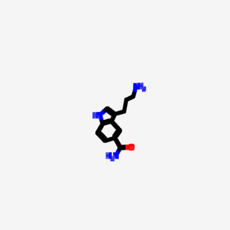 NCCCc1c[nH]c2ccc(C(N)=O)cc12